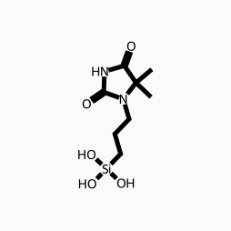 CC1(C)C(=O)NC(=O)N1CCC[Si](O)(O)O